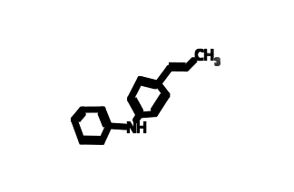 C/C=C/c1ccc(Nc2ccccc2)cc1